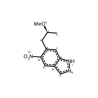 CO[C@@H](C)Cc1cc2[nH]ncc2cc1[N+](=O)[O-]